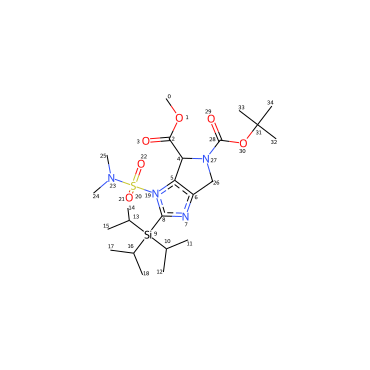 COC(=O)C1c2c(nc([Si](C(C)C)(C(C)C)C(C)C)n2S(=O)(=O)N(C)C)CN1C(=O)OC(C)(C)C